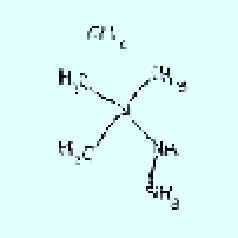 C.C[Si](C)(C)N[SiH3]